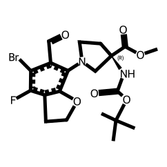 COC(=O)[C@@]1(NC(=O)OC(C)(C)C)CCN(c2c(C=O)c(Br)c(F)c3c2OCC3)C1